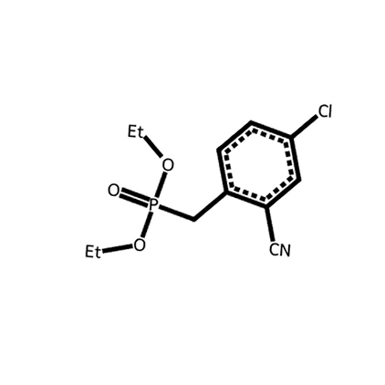 CCOP(=O)(Cc1ccc(Cl)cc1C#N)OCC